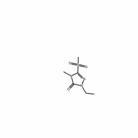 CCn1nc(S(C)(=O)=O)n(C)c1=O